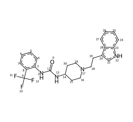 O=C(Nc1ccccc1C(F)(F)F)NC1CCN(CCc2c[nH]c3ccccc23)CC1